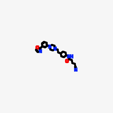 N#CCCCC(=O)NC1CCC(CCN2CCN(c3cccc(-c4ncco4)c3)CC2)CC1